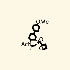 COC1CCC(C2CCC3C(C2)N(C(=O)c2ccco2)C[C@H](C)N3C(C)=O)CC1